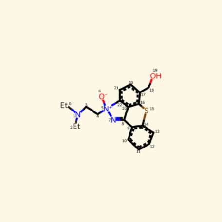 CCN(CC)CC[N+]1([O-])N=C2c3ccccc3Sc3c(CO)ccc1c32